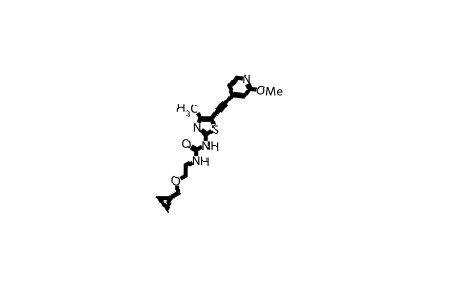 COc1cc(C#Cc2sc(NC(=O)NCCOCC3CC3)nc2C)ccn1